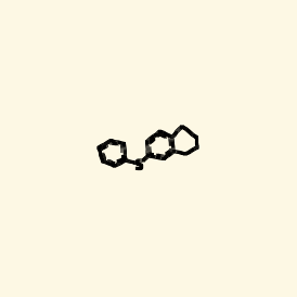 c1ccc(Sc2ccc3c(c2)CCCC3)cc1